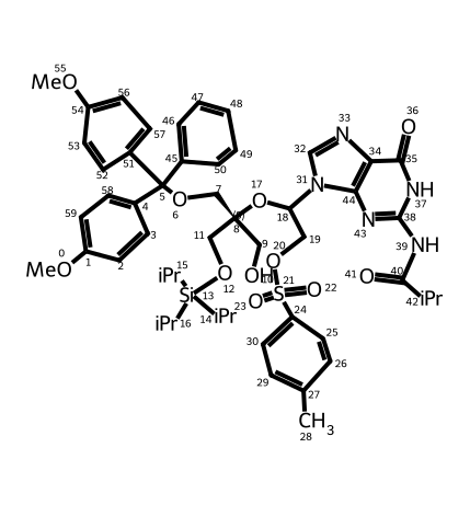 COc1ccc(C(OC[C@@](CO)(CO[Si](C(C)C)(C(C)C)C(C)C)OC(COS(=O)(=O)c2ccc(C)cc2)n2cnc3c(=O)[nH]c(NC(=O)C(C)C)nc32)(c2ccccc2)c2ccc(OC)cc2)cc1